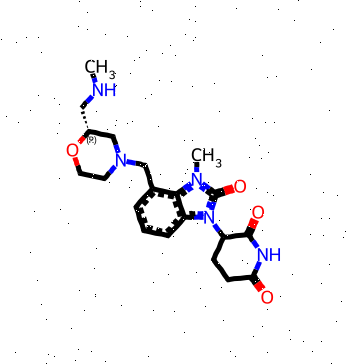 CNC[C@@H]1CN(Cc2cccc3c2n(C)c(=O)n3C2CCC(=O)NC2=O)CCO1